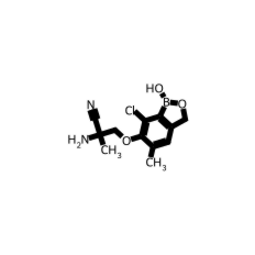 Cc1cc2c(c(Cl)c1OCC(C)(N)C#N)B(O)OC2